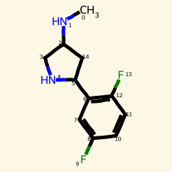 CNC1CNC(c2cc(F)ccc2F)C1